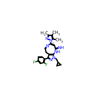 Cc1nn(C2=C/C(=N)Nc3c(c(-c4ccc(F)cc4F)nn3CC3CC3)C/C=N\2)c(C)c1C